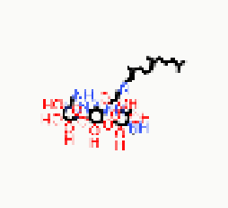 CNC1C(O)C(OC2C(NC(=O)C(O)CN=C/C=C(\C)CC/C=C(\C)CCC=C(C)C)CC(N)C(OC3OC(CN)C(O)C(O)C3O)C2O)OCC1(C)O